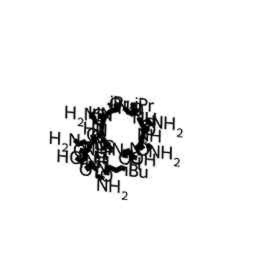 CCC(C)CCCC(=O)N[C@@H](CCN)C(=O)N[C@H](C(=O)N[C@@H](CCN)C(=O)N[C@H]1CCNC(=O)C([C@@H](C)O)NC(=O)[C@@H](CCN)NC(=O)[C@H](CCN)NC(=O)[C@@H](CC(C)C)NC(=O)[C@@H](CC(C)C)NC(=O)[C@H](CCN)NC1=O)[C@@H](C)O